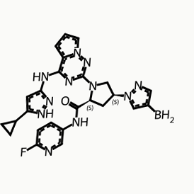 Bc1cnn([C@H]2C[C@@H](C(=O)Nc3ccc(F)nc3)N(c3nc(Nc4cc(C5CC5)[nH]n4)c4cccn4n3)C2)c1